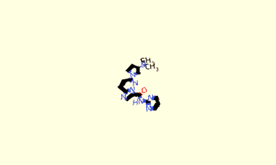 CN(C)[C@H]1CCN(c2ccc3ncc(C(=O)Nc4ncccn4)n3n2)C1